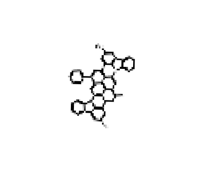 CC(C)(C)c1cc2c3c(c1)-c1cc(I)c4cc5c6c(cc(-c7ccccc7)c7cc(c1c4c76)B3c1ccccc1-2)-c1cc(C(C)(C)C)cc2c1B5c1ccccc1-2